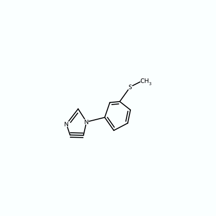 CSc1cccc(-n2c#cnc2)c1